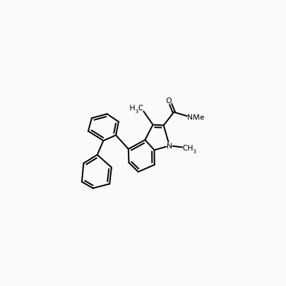 CNC(=O)c1c(C)c2c(-c3ccccc3-c3ccccc3)cccc2n1C